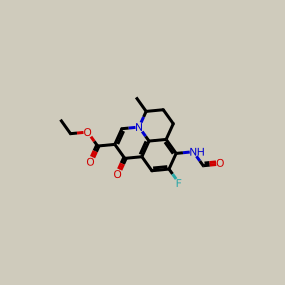 CCOC(=O)c1cn2c3c(c(NC=O)c(F)cc3c1=O)CCC2C